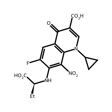 CC[C@H](Nc1c(F)cc2c(=O)c(C(=O)O)cn(C3CC3)c2c1[N+](=O)[O-])C(=O)O